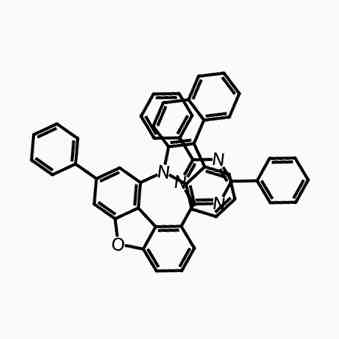 c1ccc(-c2cc(-n3c4ccccc4c4c5ccccc5ccc43)c3c(c2)oc2cccc(-c4nc(-c5ccccc5)nc(-c5ccccc5)n4)c23)cc1